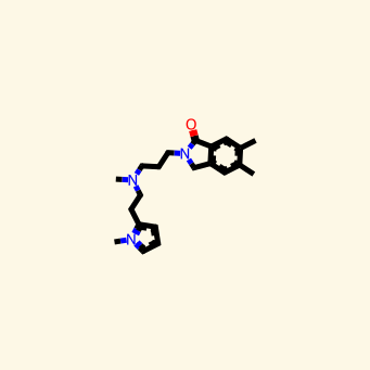 Cc1cc2c(cc1C)C(=O)N(CCCN(C)CCc1cccn1C)C2